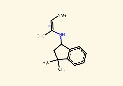 CN/C=C(/C=O)NC1CC(C)(C)c2ccccc21